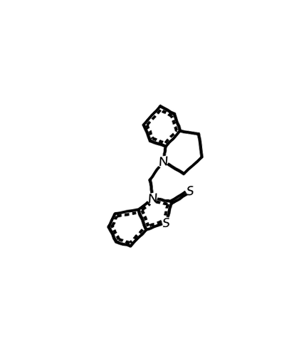 S=c1sc2ccccc2n1CN1CCCc2ccccc21